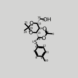 CC(=O)OC(Sc1ccc(C)cc1)[C@H]1C[C@@H](CO)OC(C)(C)O1